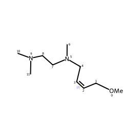 COC/C=C\CN(C)CCN(C)C